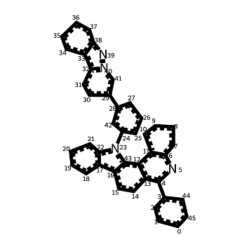 c1ccc(-c2nc3ccccc3c3c2ccc2c4ccccc4n(-c4cccc(-c5ccc6c7ccccc7nn6c5)c4)c23)cc1